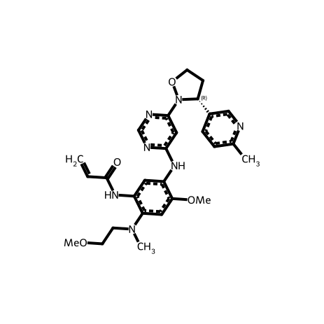 C=CC(=O)Nc1cc(Nc2cc(N3OCC[C@@H]3c3ccc(C)nc3)ncn2)c(OC)cc1N(C)CCOC